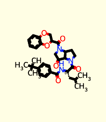 CC(C)C[C@H](NC(=O)c1ccc(C(C)(C)C)cc1)C(=O)N1CCC2C1C(=O)CN2C(=O)C1COc2ccccc2O1